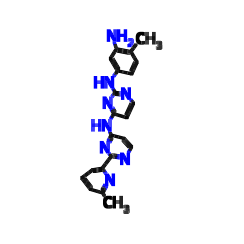 Cc1cccc(-c2nccc(Nc3ccnc(Nc4ccc(C)c(N)c4)n3)n2)n1